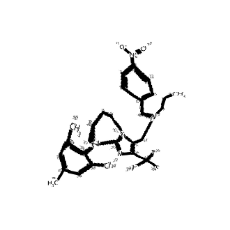 CCCN(Cc1ccc([N+](=O)[O-])cc1)Cc1c(C(F)(F)F)nc2n1CCCN2c1c(C)cc(C)cc1Cl